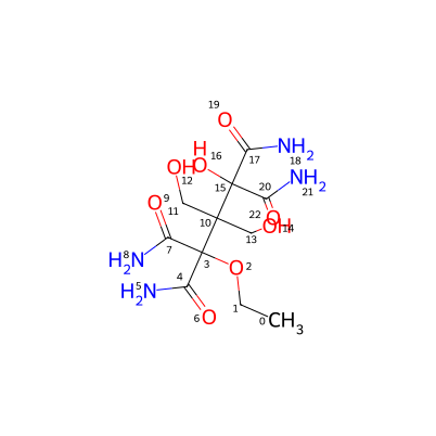 CCOC(C(N)=O)(C(N)=O)C(CO)(CO)C(O)(C(N)=O)C(N)=O